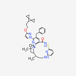 CC1CCNc2cccc(n2)SNC(=O)c2cc(Cc3ccccc3)c(-n3ccc(OCCC4C5(CC5)C45CC5)n3)nc2N2CC1CC2(C)C